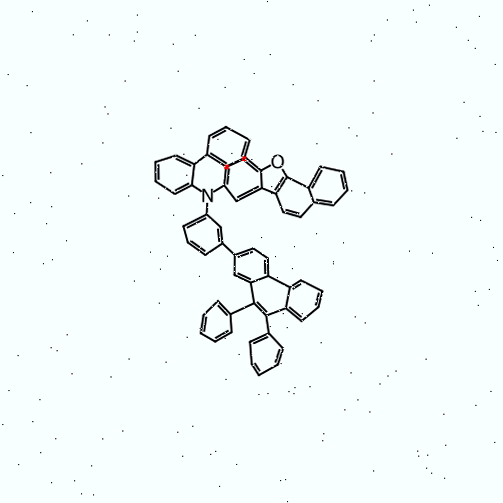 c1ccc(-c2ccccc2N(c2cccc(-c3ccc4c(c3)c(-c3ccccc3)c(-c3ccccc3)c3ccccc34)c2)c2ccc3oc4c5ccccc5ccc4c3c2)cc1